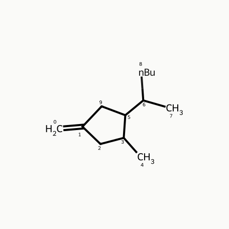 C=C1CC(C)C(C(C)CCCC)C1